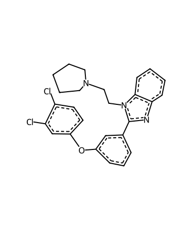 Clc1ccc(Oc2cccc(-c3nc4ccccc4n3CCN3CCCCC3)c2)cc1Cl